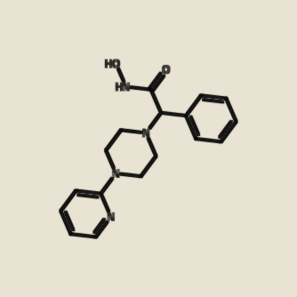 O=C(NO)C(c1ccccc1)N1CCN(c2ccccn2)CC1